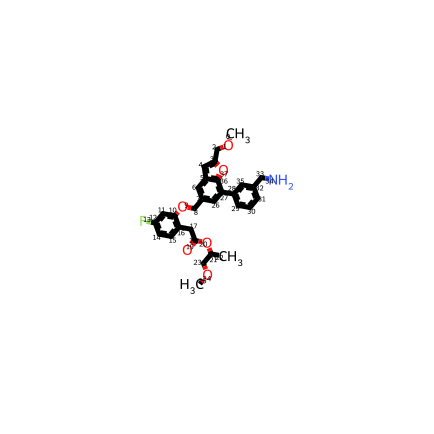 COCc1cc2cc(COc3cc(F)ccc3CC(=O)OC(C)COC)cc(-c3cccc(CN)c3)c2o1